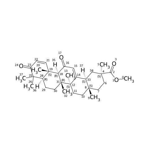 COC(=O)[C@@]1(C)CC[C@]2(C)CC[C@]3(C)C(=CC(=O)[C@@H]4[C@@]5(C)C=CC(=O)C(C)(C)[C@@H]5CC[C@]43C)[C@H]2C1